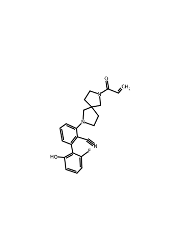 C=CC(=O)N1CCC2(CCN(c3cccc(-c4c(O)cccc4F)c3C#N)C2)C1